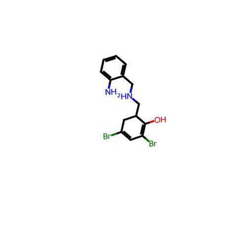 Nc1ccccc1CNCC1CC(Br)=CC(Br)=C1O